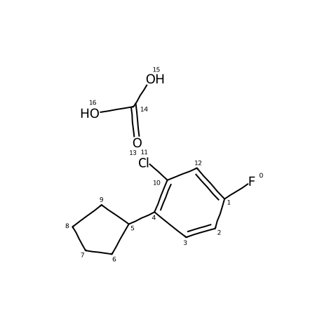 Fc1ccc(C2CCCC2)c(Cl)c1.O=C(O)O